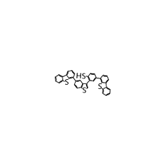 Sc1ccc(-c2cccc3c2sc2ccccc23)cc1-c1csc2ccc(-c3cccc4c3sc3ccccc34)cc12